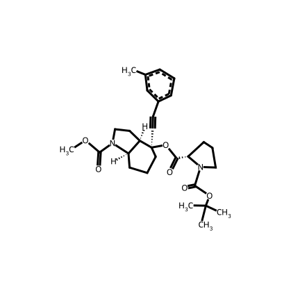 COC(=O)N1CC[C@@H]2[C@H]1CCC[C@]2(C#Cc1cccc(C)c1)OC(=O)[C@@H]1CCCN1C(=O)OC(C)(C)C